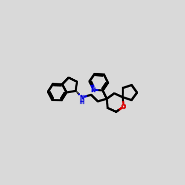 c1ccc(C2(CCN[C@H]3CCc4ccccc43)CCOC3(CCCC3)C2)nc1